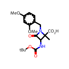 COc1ccc(CN2C(=O)C(NC(=O)OC(C)(C)C)C2(C)C(=O)O)c(OC)c1